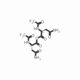 NC(=O)C[C@H](NC(=O)C(F)(F)F)C(=O)OC(=O)[C@H](CC(N)=O)NC(=O)C(F)(F)F